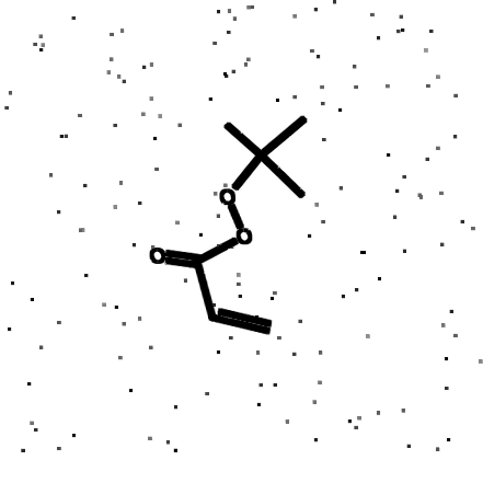 C=CC(=O)OOC(C)(C)C